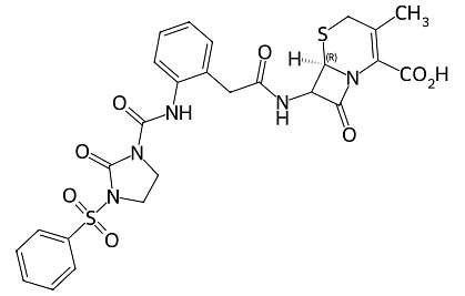 CC1=C(C(=O)O)N2C(=O)C(NC(=O)Cc3ccccc3NC(=O)N3CCN(S(=O)(=O)c4ccccc4)C3=O)[C@H]2SC1